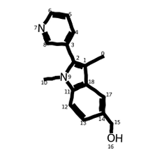 Cc1c(-c2cccnc2)n(C)c2ccc(CO)cc12